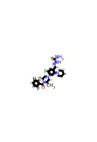 C[C@@H]1CN(c2cc(N3CCCCC3)c(/C=N/NC(N)=S)cc2F)C[C@H](C)N1C(=O)c1ccccc1F